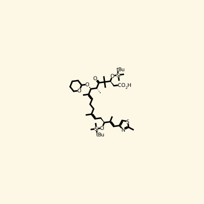 C/C(=C/C[C@H](O[Si](C)(C)C(C)(C)C)/C(C)=C/c1csc(C)n1)CC/C=C(\C)[C@H](OC1CCCCO1)[C@@H](C)C(=O)C(C)(C)[C@H](CC(=O)O)O[Si](C)(C)C(C)(C)C